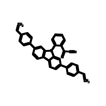 C=Cc1ccc(-c2ccc3c4ccc(-c5ccc(C=C)cc5)cc4n(-c4ccccc4C(=O)OC)c3c2)cc1